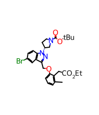 CCOC(=O)Cc1c(C)cccc1OCc1nn([C@@H]2CCN(C(=O)OC(C)(C)C)C2)c2ccc(Br)cc12